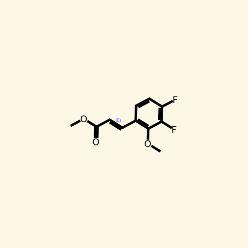 COC(=O)/C=C/c1ccc(F)c(F)c1OC